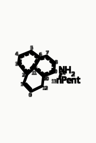 C1=Cc2cccc3cccc(c23)C1.CCCCCN